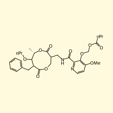 CCCOC1C(Cc2ccccc2)C(=O)OCC(CNC(=O)c2nccc(OC)c2OCOC(=O)CCC)C(=O)O[C@H]1C